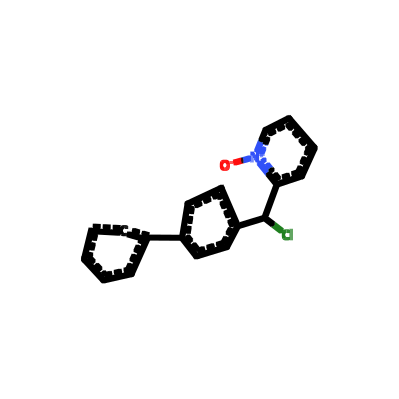 [O-][n+]1ccccc1C(Cl)c1ccc(-c2ccccc2)cc1